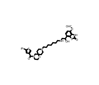 CC(C)c1cc(C(=O)N2CCOC3(CCN(CCCCCCCNCC(O)c4ccc(OC=O)c5[nH]c(=O)sc45)CC3)C2)cs1